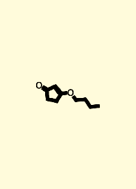 CCCCOC1=CC(=O)CC1